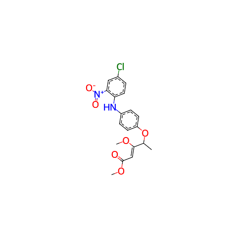 COC(=O)C=C(OC)C(C)Oc1ccc(Nc2ccc(Cl)cc2[N+](=O)[O-])cc1